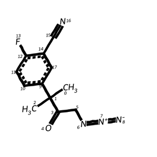 CC(C)(C(=O)CN=[N+]=[N-])c1ccc(F)c(C#N)c1